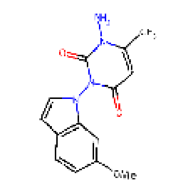 COc1ccc2ccn(-n3c(=O)cc(C(F)(F)F)n(N)c3=O)c2c1